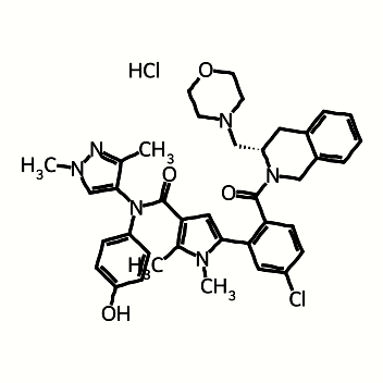 Cc1nn(C)cc1N(C(=O)c1cc(-c2cc(Cl)ccc2C(=O)N2Cc3ccccc3C[C@H]2CN2CCOCC2)n(C)c1C)c1ccc(O)cc1.Cl